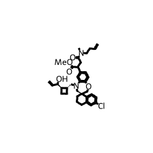 C=CCCN(C)C(=O)CC(C(=O)OC)c1ccc2c(c1)N(C[C@@H]1CC[C@H]1C(O)C=C)C[C@@]1(CCCc3cc(Cl)ccc31)CO2